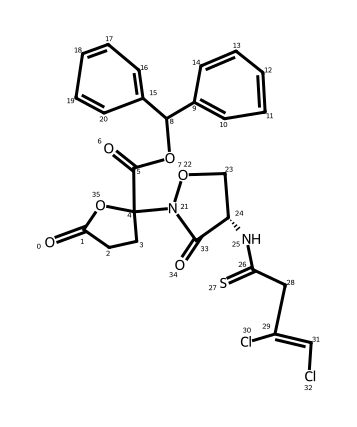 O=C1CCC(C(=O)OC(c2ccccc2)c2ccccc2)(N2OC[C@H](NC(=S)C/C(Cl)=C/Cl)C2=O)O1